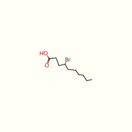 CCCCCCC(Br)CCC(=O)O